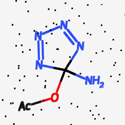 CC(=O)OC1(N)N=NN=N1